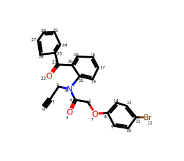 C#CCN(C(=O)COc1ccc(Br)cc1)c1ccccc1C(=O)c1ccccc1